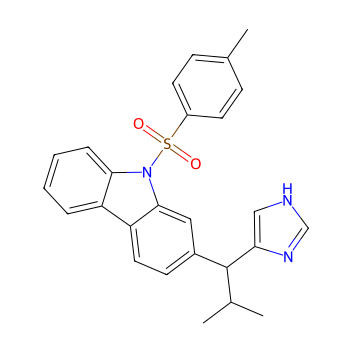 Cc1ccc(S(=O)(=O)n2c3ccccc3c3ccc(C(c4c[nH]cn4)C(C)C)cc32)cc1